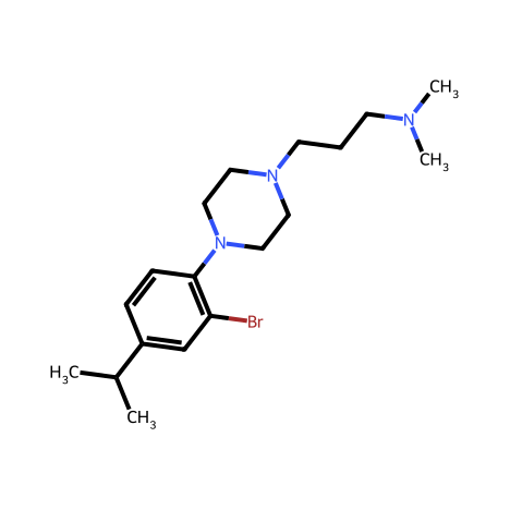 CC(C)c1ccc(N2CCN(CCCN(C)C)CC2)c(Br)c1